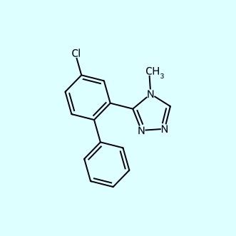 Cn1cnnc1-c1cc(Cl)ccc1-c1ccccc1